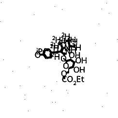 [2H]C([2H])([2H])c1c(C([2H])([2H])c2ccc(OC(C)C)cc2)c(O[C@@H]2O[C@H](COC(=O)OCC)[C@@H](O)[C@H](O)[C@H]2O)nn1C(C([2H])([2H])[2H])C([2H])([2H])[2H]